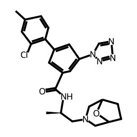 Cc1ccc(-c2cc(C(=O)N[C@H](C)CN3CC4CCC(C3)O4)cc(-n3cnnn3)c2)c(Cl)c1